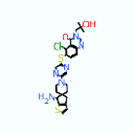 CC(C)(O)Cn1cnc2ccc(Sc3cnc(N4CCC5(CC4)Cc4ccsc4[C@@H]5N)cn3)c(Cl)c2c1=O